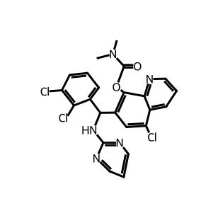 CN(C)C(=O)Oc1c(C(Nc2ncccn2)c2cccc(Cl)c2Cl)cc(Cl)c2cccnc12